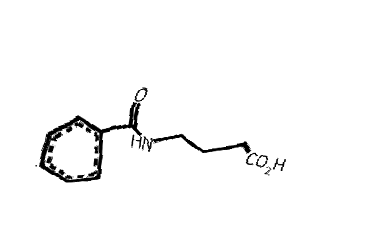 O=C(O)CCCNC(=O)c1cc[c]cc1